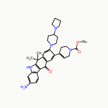 CC(C)(C)OC(=O)N1CC=C(c2cc3c(cc2N2CCC(N4CCCC4)CC2)C(C)(C)c2[nH]c4cc(N)ccc4c2C3=O)CC1